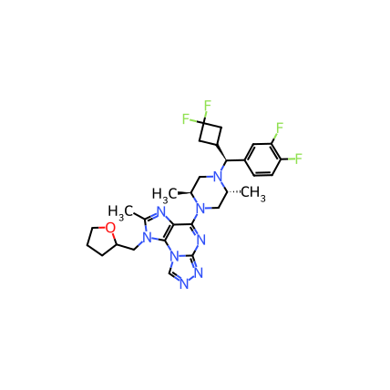 Cc1nc2c(N3C[C@@H](C)N([C@H](c4ccc(F)c(F)c4)C4CC(F)(F)C4)C[C@@H]3C)nc3nncn3c2n1CC1CCCO1